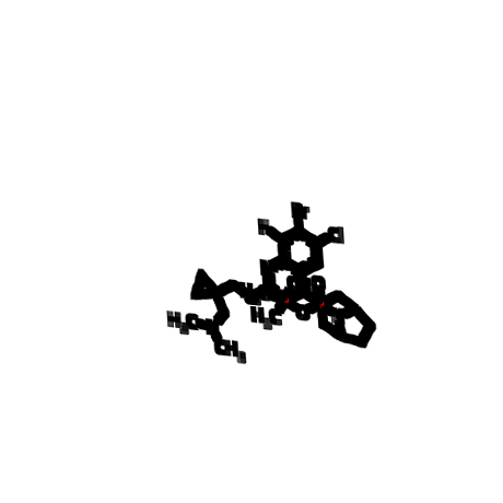 CN(C)CC1(COc2nc(N3CC4CCC(C3)N4C(=O)OC(C)(C)C)c3cc(Cl)c(Br)c(F)c3n2)CC1